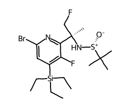 CC[Si](CC)(CC)c1cc(Br)nc([C@@](C)(CF)N[S@+]([O-])C(C)(C)C)c1F